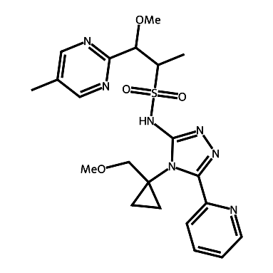 COCC1(n2c(NS(=O)(=O)C(C)C(OC)c3ncc(C)cn3)nnc2-c2ccccn2)CC1